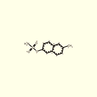 Cc1ccc2cc(OS(N)(=O)=O)ccc2c1